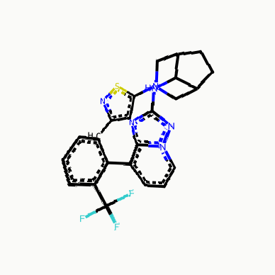 Cc1cc(N2CC3CCC(C2)C3Nc2nc3c(-c4ccccc4C(F)(F)F)cccn3n2)sn1